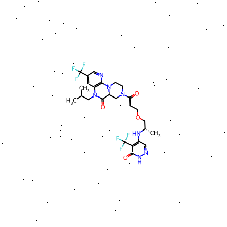 CC(C)CN1C(=O)C2CN(C(=O)CCOC[C@H](C)Nc3cn[nH]c(=O)c3C(F)(F)F)CCN2c2ncc(C(F)(F)F)cc21